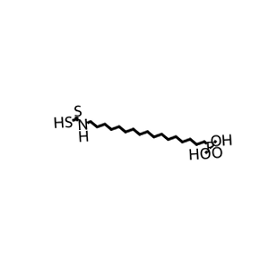 O=P(O)(O)CCCCCCCCCCCCCCCCCNC(=S)S